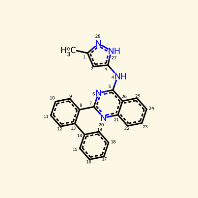 Cc1cc(Nc2nc(-c3ccccc3-c3ccccc3)nc3ccccc23)[nH]n1